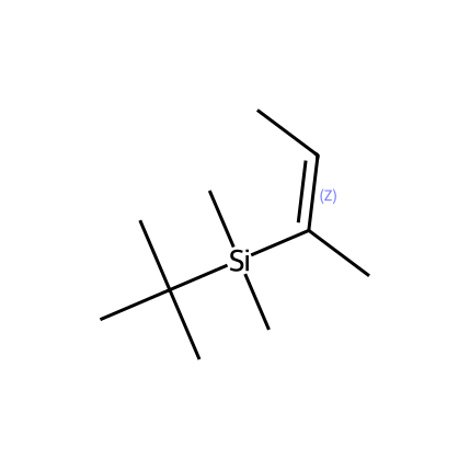 C/C=C(/C)[Si](C)(C)C(C)(C)C